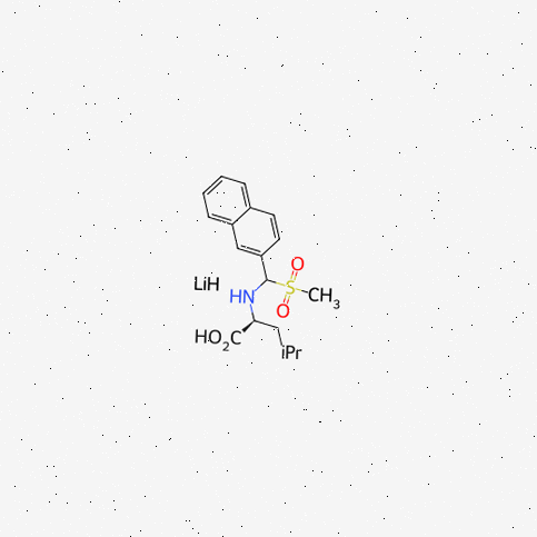 CC(C)C[C@H](NC(c1ccc2ccccc2c1)S(C)(=O)=O)C(=O)O.[LiH]